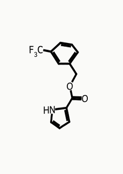 O=C(OCc1cccc(C(F)(F)F)c1)c1ccc[nH]1